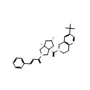 N[C@@H]1C[C@H]2CN(C(=O)/C=C/c3ccccc3)C[C@@]2(C(=O)N2CCc3ncc(C(F)(F)F)cc3C2)C1